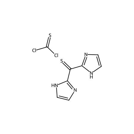 S=C(Cl)Cl.S=C(c1ncc[nH]1)c1ncc[nH]1